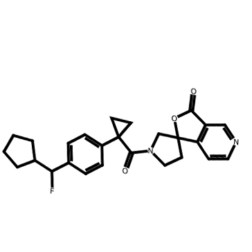 O=C1OC2(CCN(C(=O)C3(c4ccc(C(F)C5CCCC5)cc4)CC3)C2)c2ccncc21